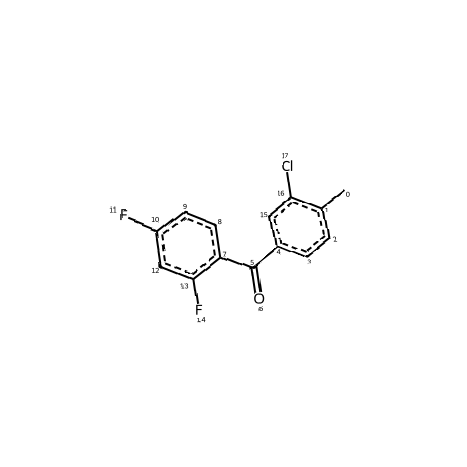 Cc1ccc(C(=O)c2ccc(F)cc2F)cc1Cl